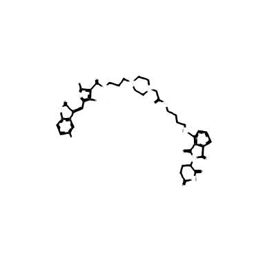 Cc1[nH]c(/C=C2\C(=O)Nc3ccc(F)cc32)c(C)c1C(=O)NCCCN1CCN(CC(=O)NCCCCNc2cccc3c2C(=O)N(C2CCC(=O)NC2=O)C3=O)CC1